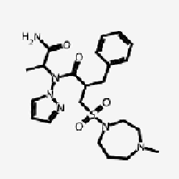 CC(C(N)=O)N(C(=O)C(Cc1ccccc1)CS(=O)(=O)N1CCCN(C)CC1)n1cccn1